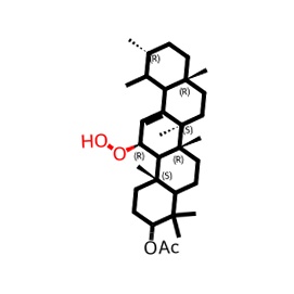 CC(=O)OC1CC[C@@]2(C)C(CC[C@]3(C)C2[C@@H](OO)C=C2C4C(C)[C@H](C)CC[C@]4(C)CC[C@]23C)C1(C)C